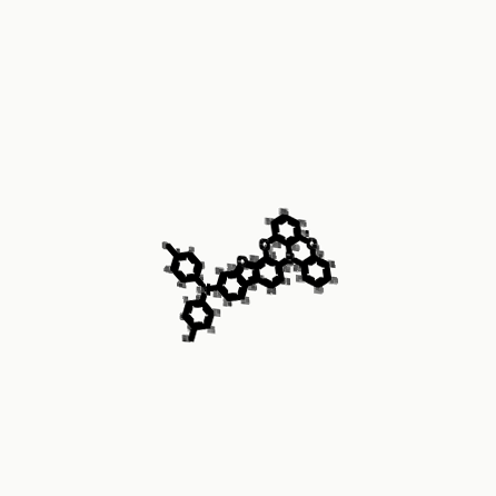 Cc1ccc(N(c2ccc(C)cc2)c2ccc3c(c2)oc2c4c(ccc23)B2c3ccccc3Oc3cccc(c32)O4)cc1